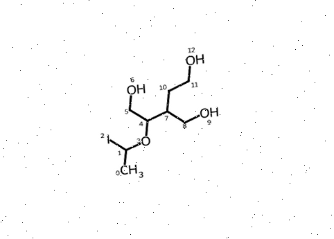 CC(I)OC(CO)C(CO)CCO